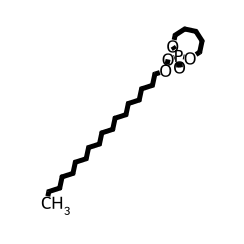 CCCCCCCCCCCCCCCCCCOOP1(=O)OCCCCCO1